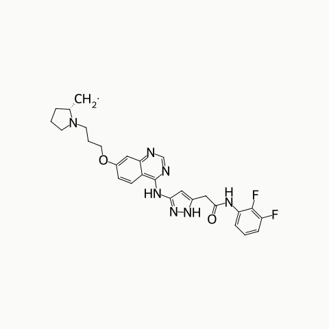 [CH2][C@H]1CCCN1CCCOc1ccc2c(Nc3cc(CC(=O)Nc4cccc(F)c4F)[nH]n3)ncnc2c1